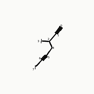 C#CC(I)CC#CI